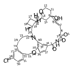 O=C1NS(=O)(=O)C/C=C/[C@@]2(O)CCO[C@H](C2)[C@@H]2CC[C@H]2CN2CCCCc3cc(Cl)ccc3COc3ccc1cc32